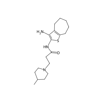 CC1CCN(CCC(=O)Nc2sc3c(c2N)CCCCC3)CC1